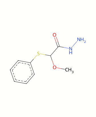 COC(Sc1ccccc1)C(=O)NN